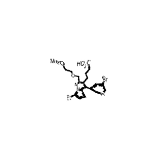 CCc1ccc2c(-c3cncc(Br)c3)c(CCCC(=O)O)c(COCCOC)nn12